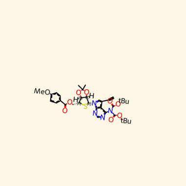 C#Cc1cn([C@@H]2S[C@H](COC(=O)c3ccc(OC)cc3)[C@H]3OC(C)(C)O[C@H]32)c2ncnc(N(C(=O)OC(C)(C)C)C(=O)OC(C)(C)C)c12